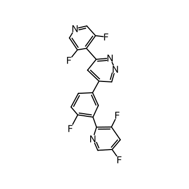 Fc1cnc(-c2cc(-c3cnnc(-c4c(F)cncc4F)c3)ccc2F)c(F)c1